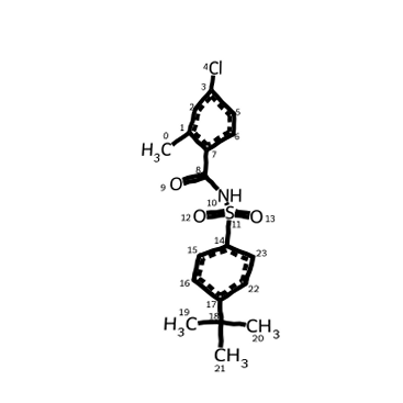 Cc1cc(Cl)ccc1C(=O)NS(=O)(=O)c1ccc(C(C)(C)C)cc1